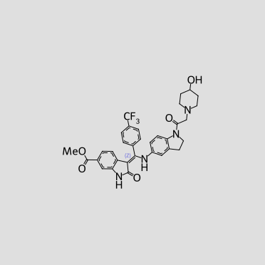 COC(=O)c1ccc2c(c1)NC(=O)/C2=C(\Nc1ccc2c(c1)CCN2C(=O)CN1CCC(O)CC1)c1ccc(C(F)(F)F)cc1